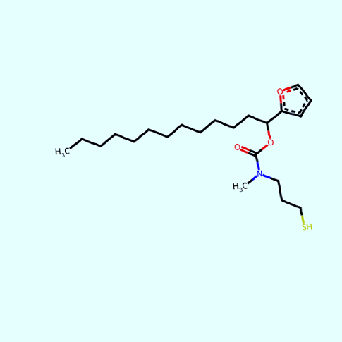 CCCCCCCCCCCCC(OC(=O)N(C)CCCS)c1ccco1